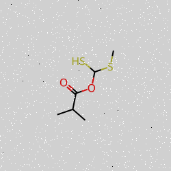 CSC(S)OC(=O)C(C)C